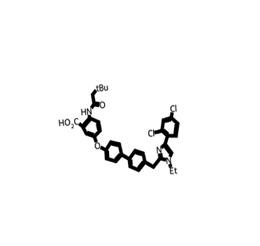 CCn1cc(-c2ccc(Cl)cc2Cl)nc1Cc1ccc(-c2ccc(Oc3ccc(NC(=O)CC(C)(C)C)c(C(=O)O)c3)cc2)cc1